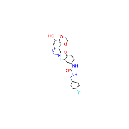 O=C(NCc1ccc(F)cc1)Nc1ccc(Oc2ncnc3cc(O)c4c(c23)OCCO4)c(F)c1